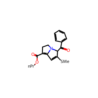 CCCOC(=O)C1=C2C=C(SC)C(C(=O)c3ccccc3)N2CC1